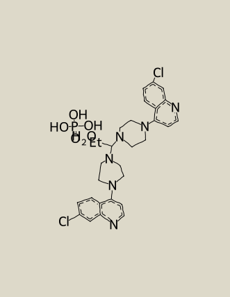 CCC(N1CCN(c2ccnc3cc(Cl)ccc23)CC1)N1CCN(c2ccnc3cc(Cl)ccc23)CC1.O.O=P(O)(O)O